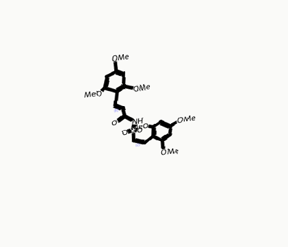 COc1cc(OC)c(/C=C\S(=O)(=O)NC(=O)/C=C/c2c(OC)cc(OC)cc2OC)c(OC)c1